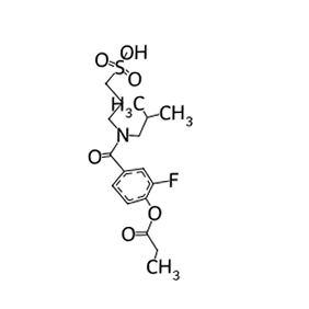 CCC(=O)Oc1ccc(C(=O)N(CCCS(=O)(=O)O)CC(C)C)cc1F